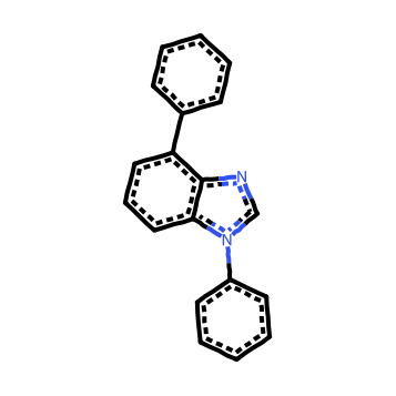 c1ccc(-c2cccc3c2ncn3-c2ccccc2)cc1